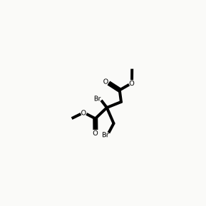 COC(=O)CC(Br)(CBr)C(=O)OC